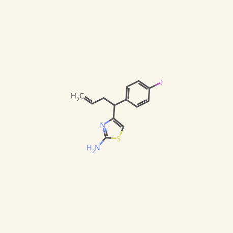 C=CCC(c1ccc(I)cc1)c1csc(N)n1